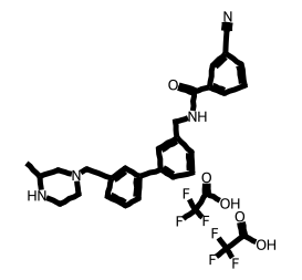 CC1CN(Cc2cccc(-c3cccc(CNC(=O)c4cccc(C#N)c4)c3)c2)CCN1.O=C(O)C(F)(F)F.O=C(O)C(F)(F)F